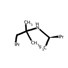 CC(C)CC(C)(C)N[C@@H](C(C)C)C(F)(F)F